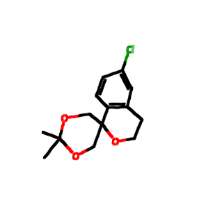 CC1(C)OCC2(CO1)OCCc1cc(Cl)ccc12